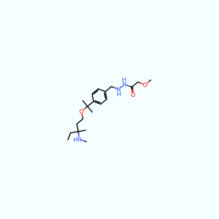 CCC(C)(CCOC(C)(C)c1ccc(CNNC(=O)COC)cc1)NC